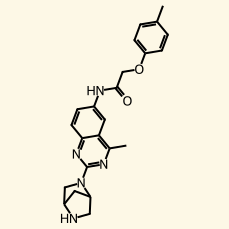 Cc1ccc(OCC(=O)Nc2ccc3nc(N4CC5CC4CN5)nc(C)c3c2)cc1